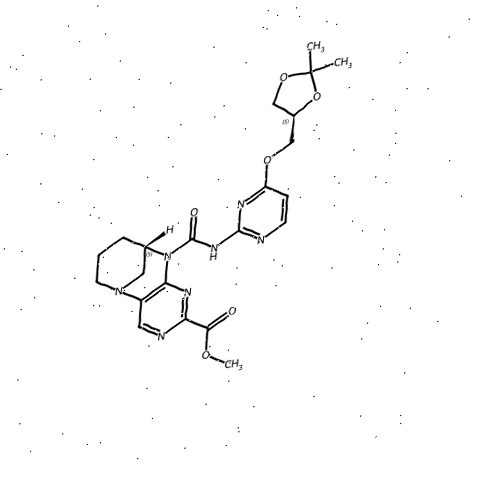 COC(=O)c1ncc2c(n1)N(C(=O)Nc1nccc(OC[C@H]3COC(C)(C)O3)n1)[C@H]1CCCN2C1